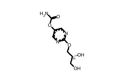 NC(=O)Oc1cnc(OC[C@H](O)CO)nc1